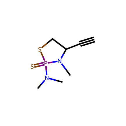 C#CC1CSP(=S)(N(C)C)N1C